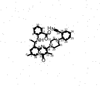 Cc1cc(C(C)Nc2ccccc2C(=O)O)c2nc(N3CCN(c4ccccc4C#N)CC3)c(C)c(=O)n2c1